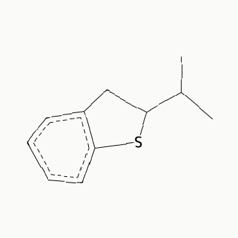 CC(C)C1Cc2ccccc2S1